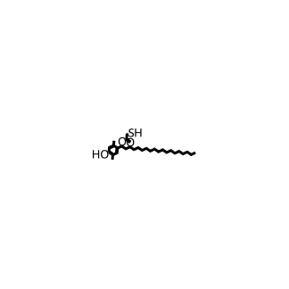 CCCCCCCCCCCCCCCCCCC(OC(=O)CS)c1cc(C)c(O)cc1C